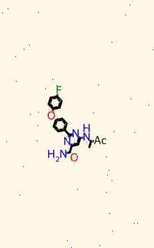 CC(=O)C(C)Nc1cc(C(N)=O)nc(-c2ccc(Oc3ccc(F)cc3)cc2)n1